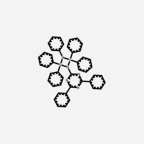 c1ccc(-c2nc(-c3ccccc3)nc(N3[Si](c4ccccc4)(c4ccccc4)N(c4ccccc4)[Si]3(c3ccccc3)c3ccccc3)n2)cc1